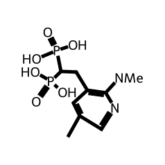 CNc1ncc(C)cc1CC(P(=O)(O)O)P(=O)(O)O